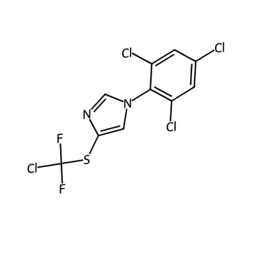 FC(F)(Cl)Sc1cn(-c2c(Cl)cc(Cl)cc2Cl)cn1